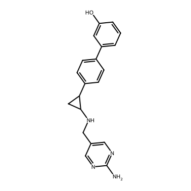 Nc1ncc(CNC2CC2c2ccc(-c3cccc(O)c3)cc2)cn1